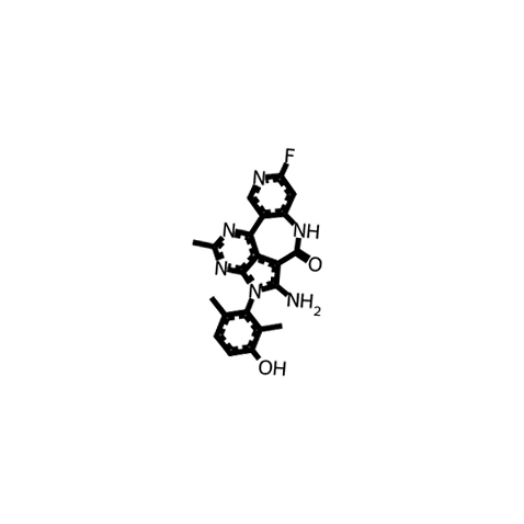 Cc1nc2c3c(c(N)n(-c4c(C)ccc(O)c4C)c3n1)C(=O)Nc1cc(F)ncc1-2